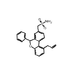 C=CCc1cccc2c1-c1ccc(CS(N)(=O)=O)cc1C(c1ccccc1)O2